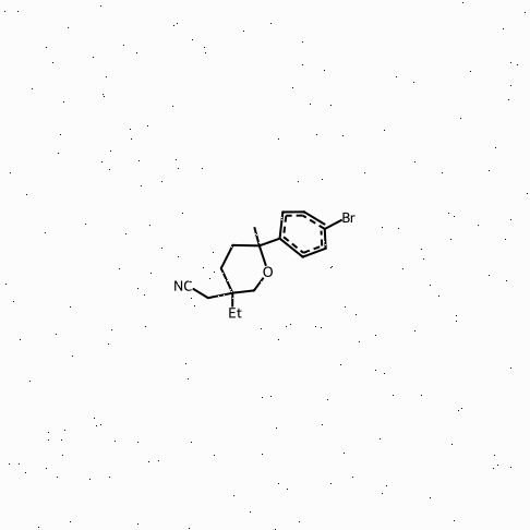 CCC1(CC#N)CCC(C)(c2ccc(Br)cc2)OC1